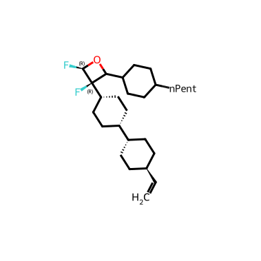 C=C[C@H]1CC[C@H]([C@H]2CC[C@@H]([C@@]3(F)C(C4CCC(CCCCC)CC4)O[C@@H]3F)CC2)CC1